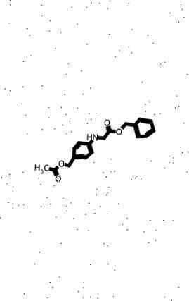 CC(=O)OCc1ccc(NCC(=O)OCc2ccccc2)cc1